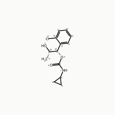 C[C@H](O)[C@@H](OC(=O)NC1CC1)c1ccccc1Cl